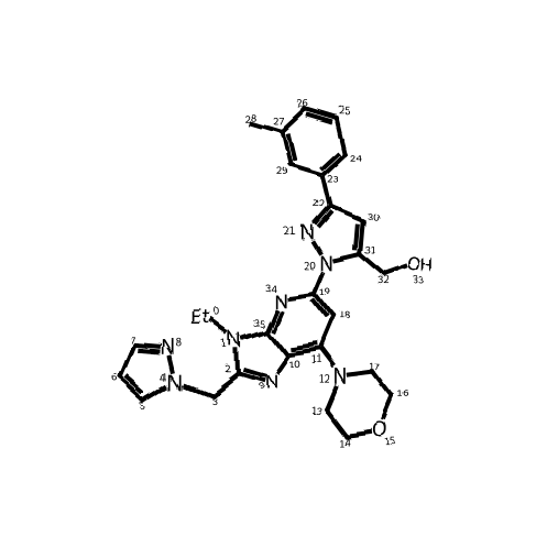 CCn1c(Cn2cccn2)nc2c(N3CCOCC3)cc(-n3nc(-c4cccc(C)c4)cc3CO)nc21